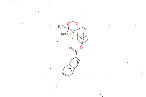 CC(=O)OC1(C(F)(F)F)OCOC2(C3CC4CC2CC(OC(=O)C2CC5CC2C2C6C=CC(C6)C52)(C4)C3)C1(F)F